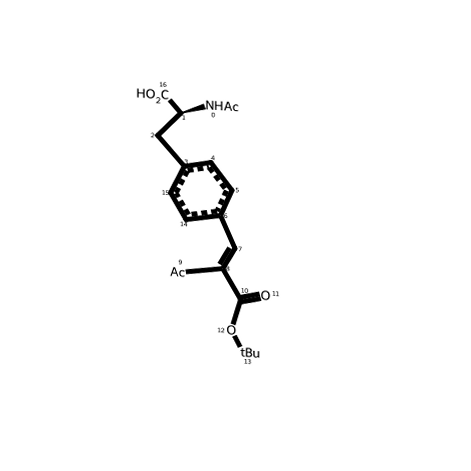 CC(=O)N[C@@H](Cc1ccc(/C=C(\C(C)=O)C(=O)OC(C)(C)C)cc1)C(=O)O